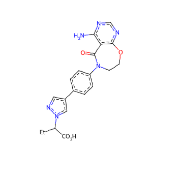 CCC(C(=O)O)n1cc(-c2ccc(N3CCOc4ncnc(N)c4C3=O)cc2)cn1